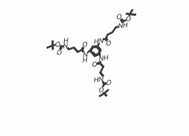 CC(C)(C)OC(=O)NCCCC(=O)Nc1cc(NC(=O)CCCNC(=O)OC(C)(C)C)cc(NC(=O)CCCNC(=O)OC(C)(C)C)c1